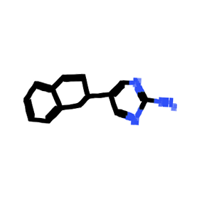 Nc1ncc(C2C=Cc3ccccc3C2)cn1